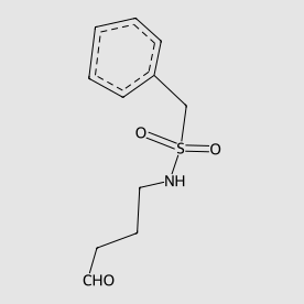 O=CCCCNS(=O)(=O)Cc1ccccc1